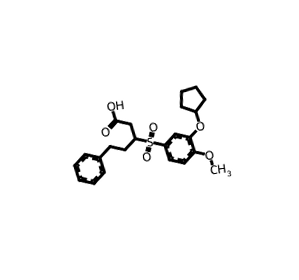 COc1ccc(S(=O)(=O)C(CCc2ccccc2)CC(=O)O)cc1OC1CCCC1